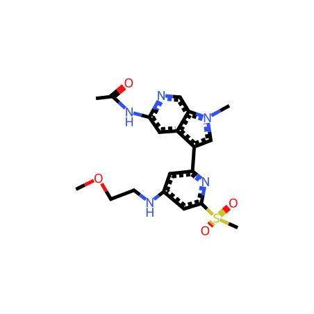 COCCNc1cc(-c2cn(C)c3cnc(NC(C)=O)cc23)nc(S(C)(=O)=O)c1